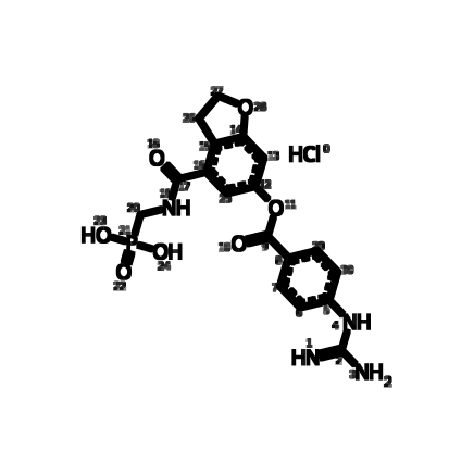 Cl.N=C(N)Nc1ccc(C(=O)Oc2cc3c(c(C(=O)NCP(=O)(O)O)c2)CCO3)cc1